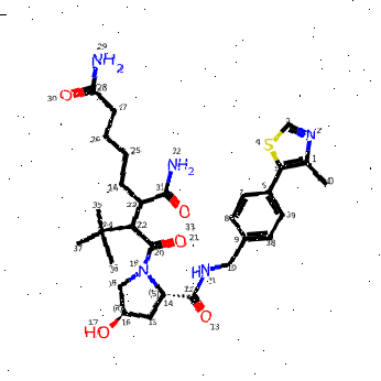 Cc1ncsc1-c1ccc(CNC(=O)[C@@H]2C[C@@H](O)CN2C(=O)C(C(CCCCC(N)=O)C(N)=O)C(C)(C)C)cc1